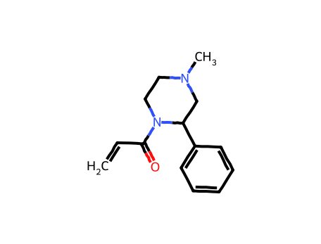 C=CC(=O)N1CCN(C)CC1c1ccccc1